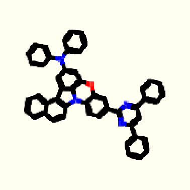 c1ccc(-c2cc(-c3ccccc3)nc(-c3ccc4c(c3)Oc3cc(N(c5ccccc5)c5ccccc5)cc5c6c7ccccc7ccc6n-4c35)n2)cc1